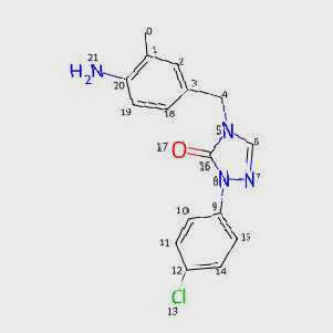 Cc1cc(Cn2cnn(-c3ccc(Cl)cc3)c2=O)ccc1N